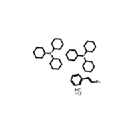 C1CCC(P(C2CCCCC2)C2CCCCC2)CC1.C1CCC(P(C2CCCCC2)C2CCCCC2)CC1.Cl.Cl.[Ru][CH]=Cc1ccccc1